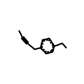 [CH2]C#CCc1ccc(CC)cc1